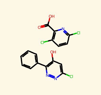 O=C(O)c1nc(Cl)ccc1Cl.Oc1cc(Cl)nnc1-c1ccccc1